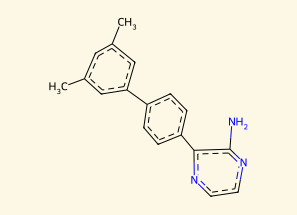 Cc1cc(C)cc(-c2ccc(-c3nccnc3N)cc2)c1